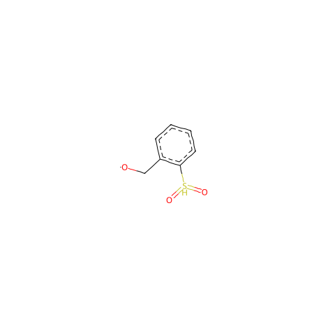 [O]Cc1ccccc1[SH](=O)=O